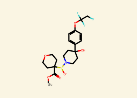 CC(C)(C)OC(=O)C1([S+]([O-])N2CCC(O)(c3ccc(OC(F)(F)CF)cc3)CC2)CCOCC1